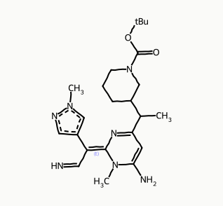 CC(C1=N/C(=C(/C=N)c2cnn(C)c2)N(C)C(N)=C1)C1CCCN(C(=O)OC(C)(C)C)C1